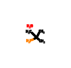 CC(C)(C)P.O